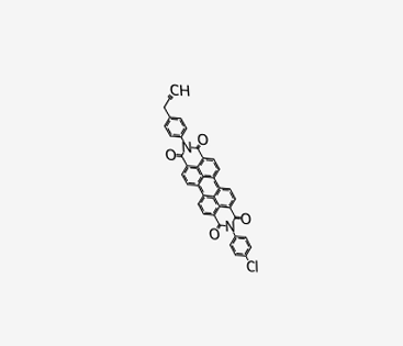 C#CCc1ccc(N2C(=O)c3ccc4c5ccc6c7c(ccc(c8ccc(c3c48)C2=O)c75)C(=O)N(c2ccc(Cl)cc2)C6=O)cc1